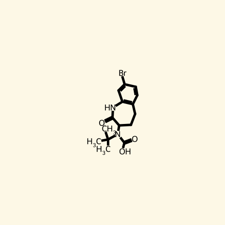 CC(C)(C)N(C(=O)O)C1CCc2ccc(Br)cc2NC1=O